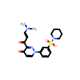 CN(C)/C=C/C(=O)c1nn(-c2cccc(S(=O)(=O)N3CCCCC3)c2)ccc1=O